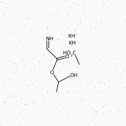 CC(=O)O.CC(O)OC(=O)C=N.[KH].[KH]